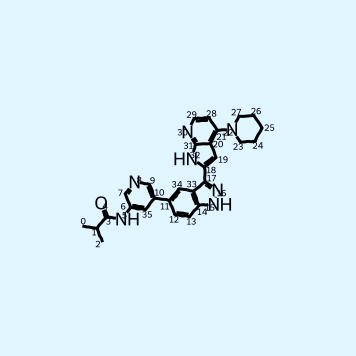 CC(C)C(=O)Nc1cncc(-c2ccc3[nH]nc(-c4cc5c(N6CCCCC6)ccnc5[nH]4)c3c2)c1